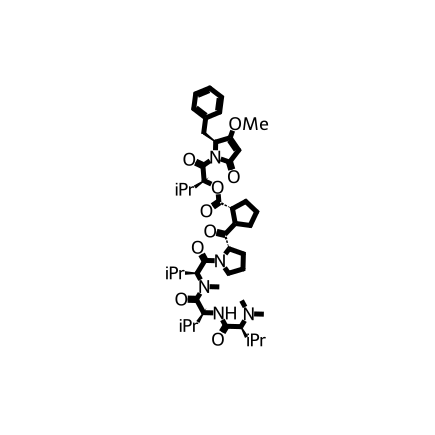 COC1=CC(=O)N(C(=O)[C@@H](OC(=O)[C@@H]2CCCC2C(=O)[C@@H]2CCCN2C(=O)[C@H](C(C)C)N(C)C(=O)[C@@H](NC(=O)[C@H](C(C)C)N(C)C)C(C)C)C(C)C)[C@H]1Cc1ccccc1